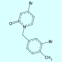 Cc1ccc(Cn2ccc(Br)cc2=O)cc1Br